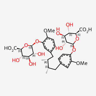 COc1cc(C[C@H](C)[C@H](C)Cc2ccc(OC)c(O[C@@H]3O[C@H](C(=O)O)[C@@H](O)[C@H](O)[C@H]3O)c2)ccc1O[C@@H]1O[C@H](C(=O)O)[C@@H](O)[C@H](O)[C@H]1O